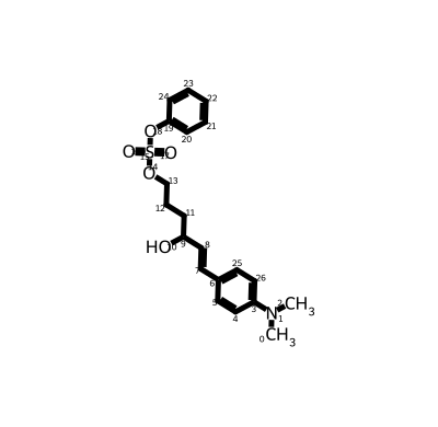 CN(C)c1ccc(/C=C/C(O)CCCOS(=O)(=O)Oc2ccccc2)cc1